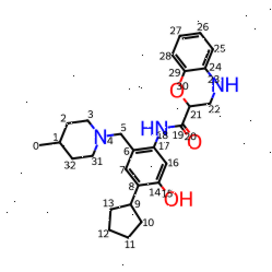 CC1CCN(Cc2cc(C3CCCC3)c(O)cc2NC(=O)C2CNc3ccccc3O2)CC1